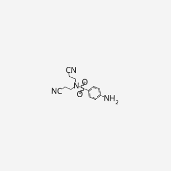 N#CCCN(CCC#N)S(=O)(=O)c1ccc(N)cc1